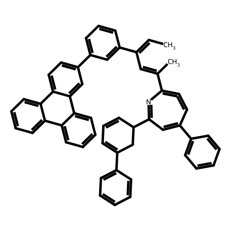 C/C=C(\C=C(/C)C1=C=CC(c2ccccc2)=CC(C2C=CC=C(c3ccccc3)C2)=N1)c1cccc(-c2ccc3c4ccccc4c4ccccc4c3c2)c1